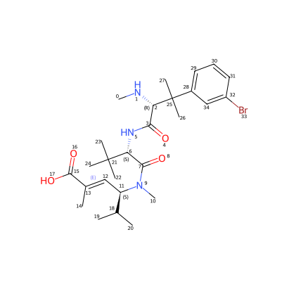 CN[C@@H](C(=O)N[C@H](C(=O)N(C)[C@H](/C=C(\C)C(=O)O)C(C)C)C(C)(C)C)C(C)(C)c1cccc(Br)c1